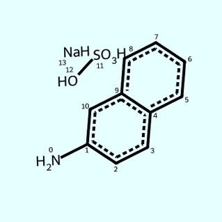 Nc1ccc2ccccc2c1.O=S(=O)(O)O.[NaH]